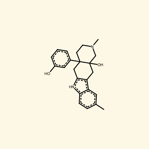 Cc1ccc2[nH]c3c(c2c1)CC1(O)CN(C)CCC1(c1cccc(O)c1)C3